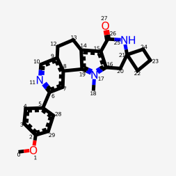 COc1ccc(-c2cc3c(cn2)CCc2c4c(n(C)c2-3)CC2(CCC2)NC4=O)cc1